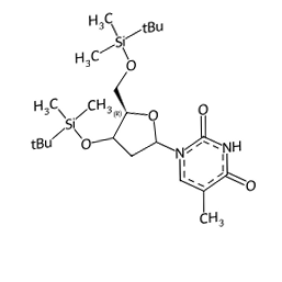 Cc1cn(C2CC(O[Si](C)(C)C(C)(C)C)[C@@H](CO[Si](C)(C)C(C)(C)C)O2)c(=O)[nH]c1=O